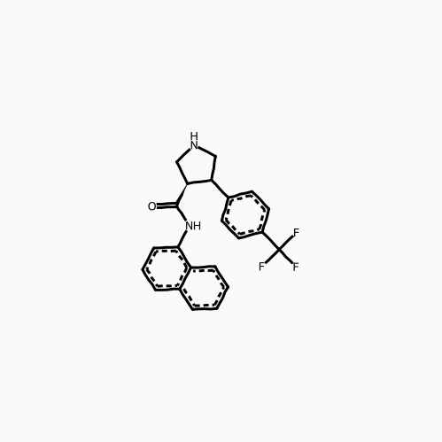 O=C(Nc1cccc2ccccc12)[C@H]1CNCC1c1ccc(C(F)(F)F)cc1